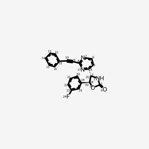 O=C1N[C@@H](c2ccnc(C#Cc3ccccc3)n2)[C@H](c2cccc(F)c2)O1